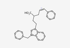 O=C(O)C(C/C=C\c1ccccc1)CCc1cn(Cc2ccccc2)c2ccccc12